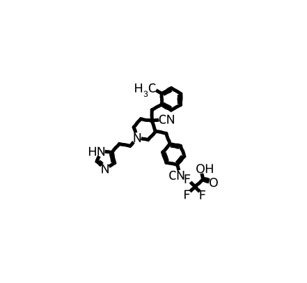 Cc1ccccc1CC1(C#N)CCN(CCc2cnc[nH]2)CC1Cc1ccc(C#N)cc1.O=C(O)C(F)(F)F